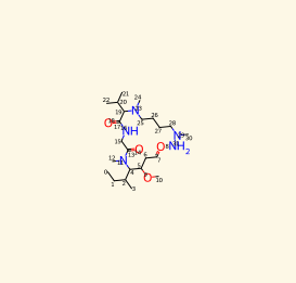 CCC(C)C(C(CC=O)OC)N(C)C(=O)CNC(=O)C(C(C)C)N(C)CCCCN(C)N